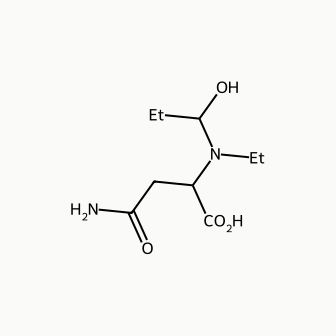 CCC(O)N(CC)C(CC(N)=O)C(=O)O